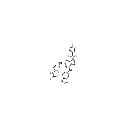 Cc1ccc(S(=O)(=O)n2ccc3c(Nc4ccc5c(cnn5C)c4)nc(Nc4ccc5c(c4)CCC(=O)N5)nc32)cc1